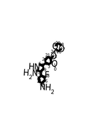 COc1cc(C2=CNC(N)C(c3ccc(N)cc3F)=C2)ccc1OC[C@H]1COCCO1